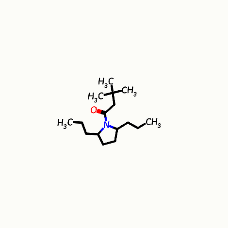 CCCC1CCC(CCC)N1C(=O)CC(C)(C)C